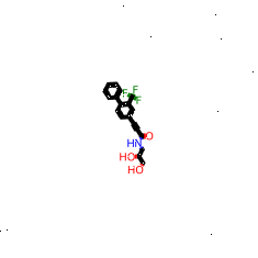 O=C(C#Cc1ccc(-c2ccccc2)c(C(F)(F)F)c1)NCC(O)CO